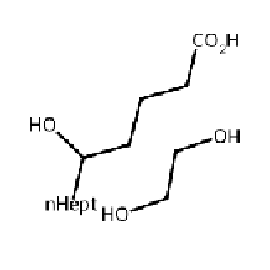 CCCCCCCC(O)CCCC(=O)O.OCCO